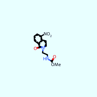 COC(=O)NCCn1ccc2c([N+](=O)[O-])cccc2c1=O